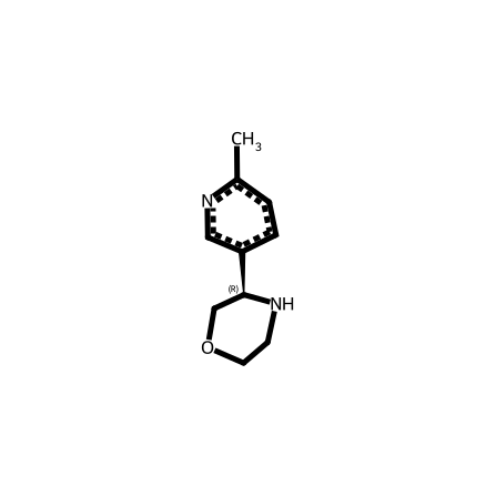 Cc1ccc([C@@H]2COCCN2)cn1